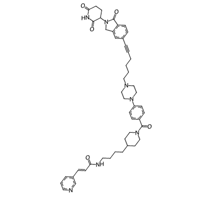 O=C(/C=C/c1cccnc1)NCCCCC1CCN(C(=O)c2ccc(N3CCN(CCCCC#Cc4ccc5c(c4)CN(C4CCC(=O)NC4=O)C5=O)CC3)cc2)CC1